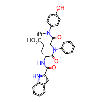 CC(C)N(C(=O)CN(C(=O)[C@@H](CCC(=O)O)NC(=O)c1cc2ccccc2[nH]1)c1ccccc1)c1ccc(O)cc1